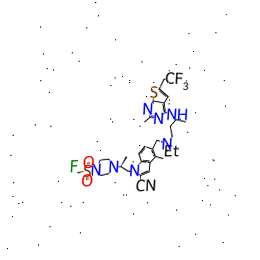 CCN(CCC(C)Nc1nc(C)nc2sc(CC(F)(F)F)cc12)Cc1ccc2c(cc(C#N)n2C[C@H](C)N2CCN(S(=O)(=O)CF)CC2)c1C